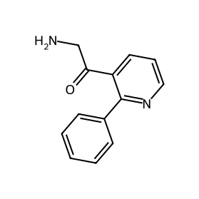 NCC(=O)c1cccnc1-c1ccccc1